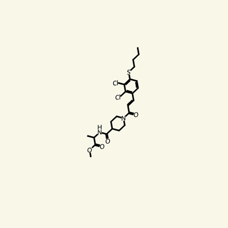 CCCCSc1ccc(C=CC(=O)N2CCC(C(=O)NC(C)C(=O)OC)CC2)c(Cl)c1Cl